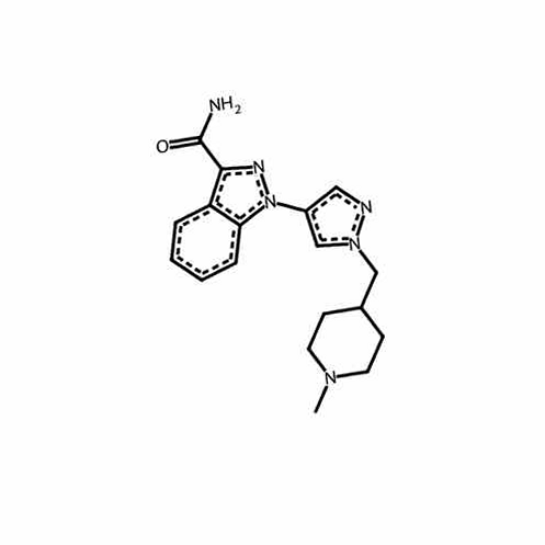 CN1CCC(Cn2cc(-n3nc(C(N)=O)c4ccccc43)cn2)CC1